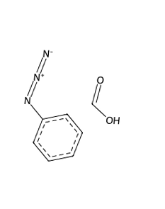 O=CO.[N-]=[N+]=Nc1ccccc1